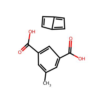 Cc1cc(C(=O)O)cc(C(=O)O)c1.c1cc2ccc1-2